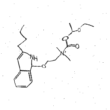 CCCCC1=Cc2ccccc2C(OCC[N+](C)(C)C(=O)OC(C)OCC)N1